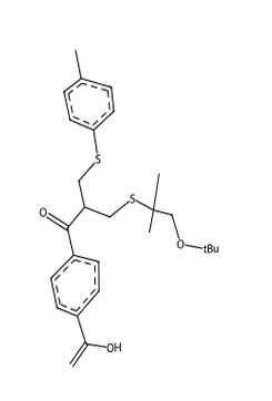 C=C(O)c1ccc(C(=O)C(CSc2ccc(C)cc2)CSC(C)(C)COC(C)(C)C)cc1